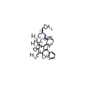 C=C1c2c(c3n(c2-c2ccccc2)CCNC3/C(C)=C/C(C)=C\C)N(C)C(=O)N1C